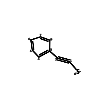 [S]C#Cc1ccccc1